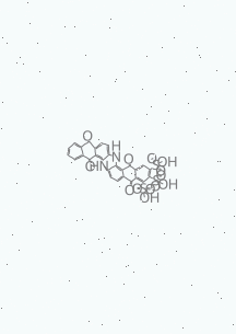 O=c1c2ccccc2c(=O)c2c1ccc1[nH]c3c(ccc4c(=O)c5c(S(=O)(=O)O)c(S(=O)(=O)O)c(S(=O)(=O)O)cc5c(=O)c43)[nH]c12